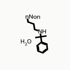 CCCCCCCCCCCCNC(C)(C)c1ccccc1.O